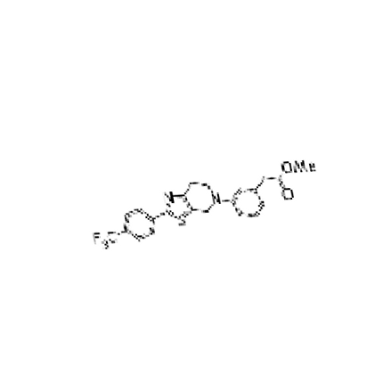 COC(=O)Cc1cccc(N2CCc3nc(-c4ccc(C(F)(F)F)cc4)sc3C2)c1